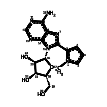 Cn1cccc1-c1nc2c(N)ncnc2n1[C@@H]1O[C@H](CO)[C@@H](O)[C@H]1O